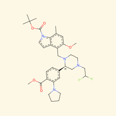 COC(=O)c1ccc([C@@H]2CN(CC(F)F)CCN2Cc2c(OC)cc(C)c3c2ccn3C(=O)OC(C)(C)C)cc1N1CCCC1